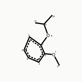 COc1ccccc1OC(C)C